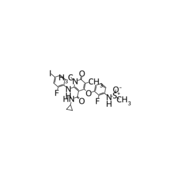 Cc1c(Oc2cccc(N[S+](C)[O-])c2F)c(C(=O)NC2CC2)c(Nc2ccc(I)cc2F)n(C)c1=O